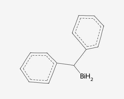 [BiH2][CH](c1ccccc1)c1ccccc1